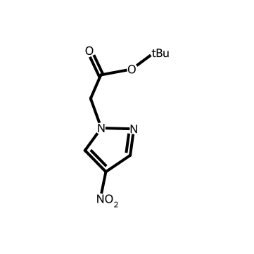 CC(C)(C)OC(=O)Cn1cc([N+](=O)[O-])cn1